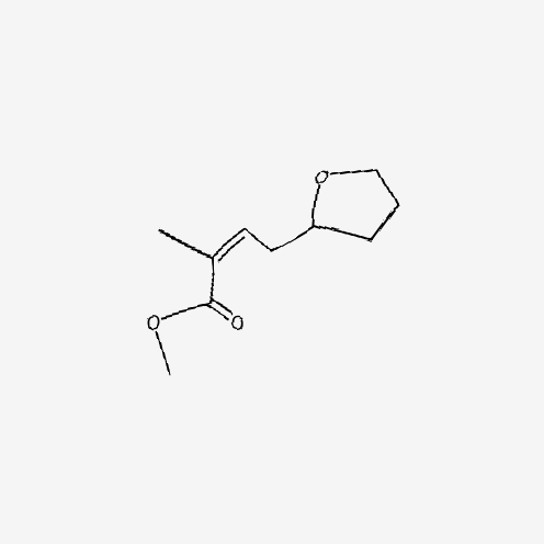 COC(=O)C(C)=CCC1CCCO1